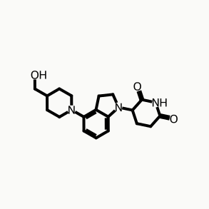 O=C1CCC(N2CCc3c(N4CCC(CO)CC4)cccc32)C(=O)N1